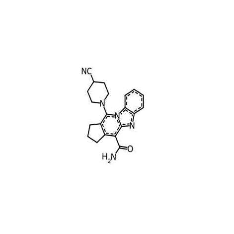 N#CC1CCN(c2c3c(c(C(N)=O)c4nc5ccccc5n24)CCC3)CC1